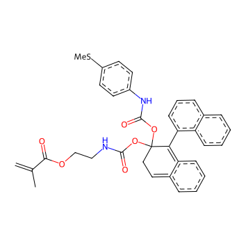 C=C(C)C(=O)OCCNC(=O)OC1(OC(=O)Nc2ccc(SC)cc2)CC=c2ccccc2=C1c1cccc2ccccc12